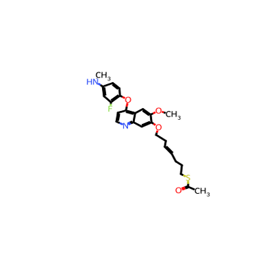 CNc1ccc(Oc2ccnc3cc(OCC/C=C/CCCSC(C)=O)c(OC)cc23)c(F)c1